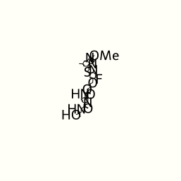 COc1cnc2c(-c3nc4cc(F)c(OCCOC(=O)Nc5ccc(C(=O)NCC(C)(C)O)nc5)cc4s3)cc(C)cc2n1